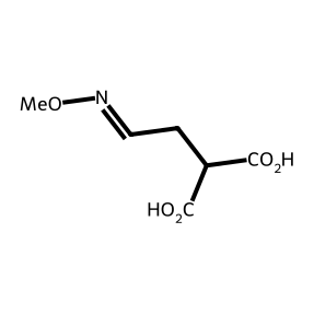 CON=CCC(C(=O)O)C(=O)O